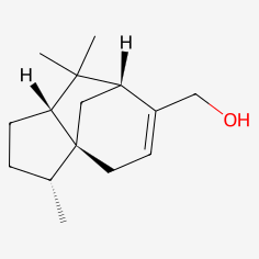 C[C@@H]1CC[C@@H]2C(C)(C)[C@H]3C[C@]12CC=C3CO